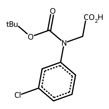 CC(C)(C)OC(=O)N(CC(=O)O)c1cccc(Cl)c1